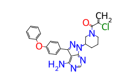 C=C(Cl)C(=O)N1CCC[C@@H](n2nc(-c3ccc(Oc4ccccc4)cc3)c3c(N)ncnc32)C1